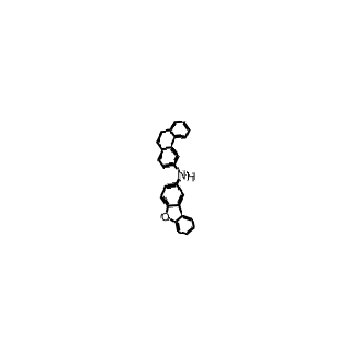 c1ccc2c(c1)ccc1ccc(Nc3ccc4oc5ccccc5c4c3)cc12